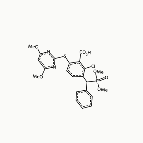 COc1cc(OC)nc(Sc2ccc(C(c3ccccc3)P(=O)(OC)OC)c(Cl)c2C(=O)O)n1